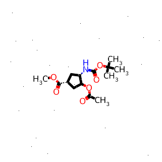 COC(=O)[C@H]1CC(OC(C)=O)[C@@H](NC(=O)OC(C)(C)C)C1